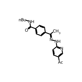 CCCCNC(=O)c1ccc(/C(C)=N/Nc2ccc(C(C)=O)cn2)cc1